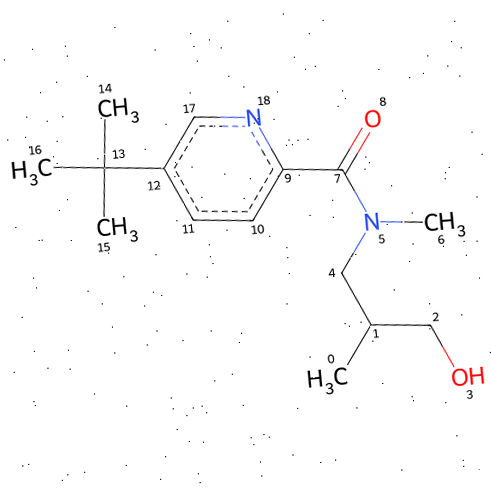 CC(CO)CN(C)C(=O)c1ccc(C(C)(C)C)cn1